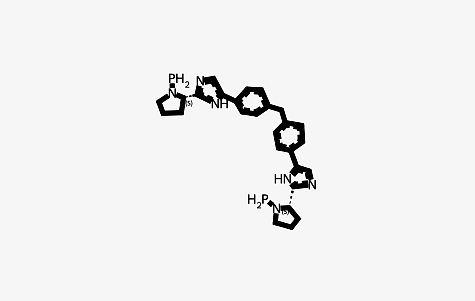 PN1CCC[C@H]1c1ncc(-c2ccc(Cc3ccc(-c4cnc([C@@H]5CCCN5P)[nH]4)cc3)cc2)[nH]1